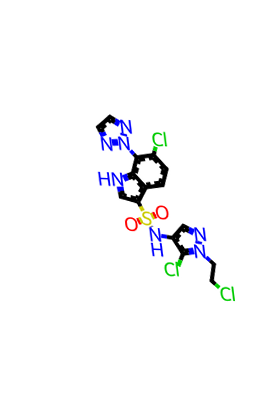 O=S(=O)(Nc1cnn(CCCl)c1Cl)c1c[nH]c2c(-n3nccn3)c(Cl)ccc12